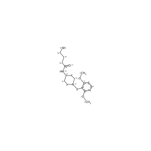 COc1cccc(OC)c1CN1CCC(NC(=O)CCCS)CC1